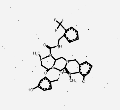 CN(C)c1c(Cl)cccc1CN1CC2N(C(=O)CN(C)N2C(=O)NCc2ccccc2C(F)(F)F)[C@@H](Cc2ccc(O)cc2)C1=O